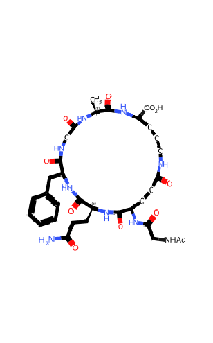 CC(=O)NCC(=O)NC1CCC(=O)NCCCC(C(=O)O)NC(=O)[C@H](C)NC(=O)CNC(=O)C(Cc2ccccc2)NC(=O)[C@H](CCC(N)=O)NC1=O